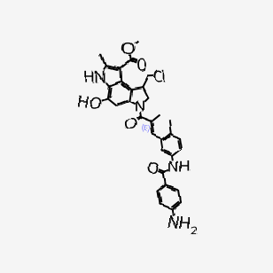 COC(=O)c1c(C)[nH]c2c(O)cc3c(c12)C(CCl)CN3C(=O)/C(C)=C/c1cc(NC(=O)c2ccc(N)cc2)ccc1C